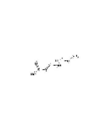 O=C(O)C=CN[SiH2]O[SiH3]